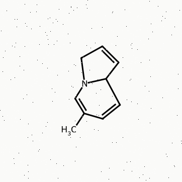 CC1=CN2CC=CC2C=C1